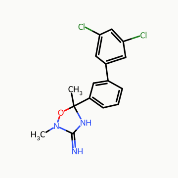 CN1OC(C)(c2cccc(-c3cc(Cl)cc(Cl)c3)c2)NC1=N